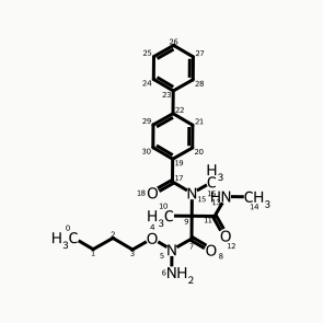 CCCCON(N)C(=O)C(C)(C(=O)NC)N(C)C(=O)c1ccc(-c2ccccc2)cc1